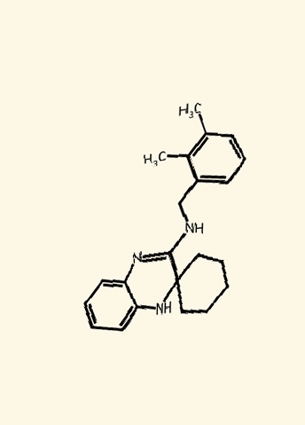 Cc1cccc(CNC2=Nc3ccccc3NC23CCCCC3)c1C